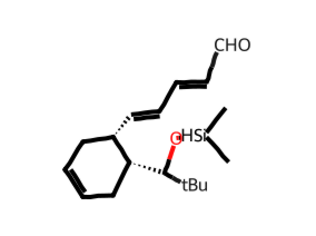 C[SiH](C)OC([C@@H]1CC=CC[C@@H]1C=CC=CC=O)C(C)(C)C